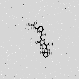 CCn1c(=C(C#N)C2=N[C@H]3CCC[C@H]3O2)sc(=CNc2cccc(NC(=O)C(C)(C)C)n2)c1=O